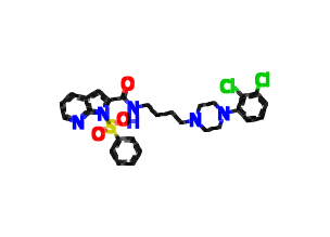 O=C(NCCCCN1CCN(c2cccc(Cl)c2Cl)CC1)c1cc2cccnc2n1S(=O)(=O)c1ccccc1